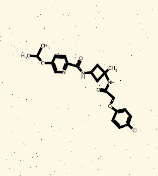 CC(C)Oc1ccc(C(=O)NC2CC(C)(NC(=O)COc3ccc(Cl)cc3)C2)nc1